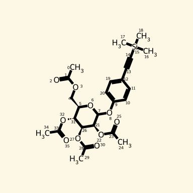 CC(=O)OC[C@H]1OC(Oc2ccc(C#C[Si](C)(C)C)cc2)[C@@H](OC(C)=O)[C@@H](OC(C)=O)[C@@H]1OC(C)=O